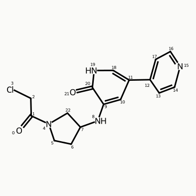 O=C(CCl)N1CCC(Nc2cc(-c3ccncc3)c[nH]c2=O)C1